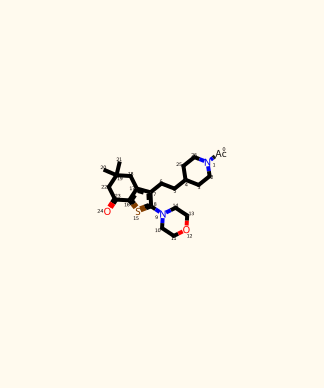 CC(=O)N1CCC(CCc2c(N3CCOCC3)sc3c2CC(C)(C)CC3=O)CC1